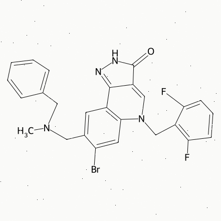 CN(Cc1ccccc1)Cc1cc2c3n[nH]c(=O)c-3cn(Cc3c(F)cccc3F)c2cc1Br